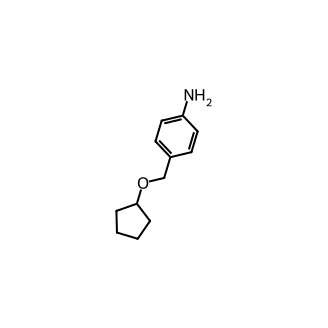 Nc1ccc(COC2CCCC2)cc1